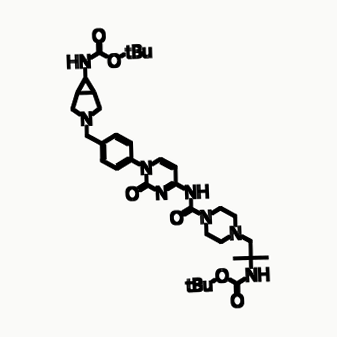 CC(C)(CN1CCN(C(=O)Nc2ccn(-c3ccc(CN4CC5C(C4)C5NC(=O)OC(C)(C)C)cc3)c(=O)n2)CC1)NC(=O)OC(C)(C)C